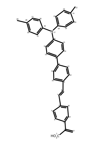 C=C(C(=O)O)c1ccc(C=Cc2ccc(-c3ccc(N(c4ccc(C)cc4)c4ccc(C)cc4)cc3)cc2)cc1